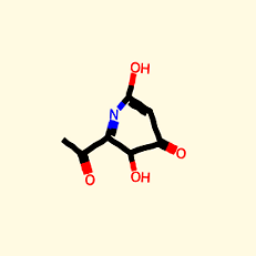 CC(=O)C1=NC(O)=CC(=O)C1O